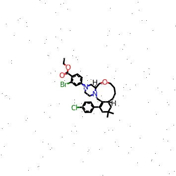 CCOC(=O)c1ccc(N2CCN3CC4=C(c5ccc(Cl)cc5)CC(C)(C)C[C@H]4CCCCOC[C@@H]3C2)cc1Br